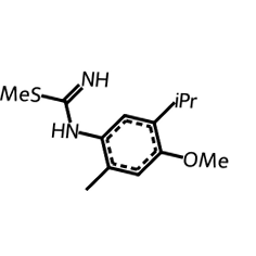 COc1cc(C)c(NC(=N)SC)cc1C(C)C